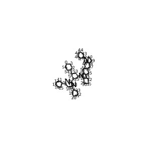 c1ccc(-c2cc(-c3nc(-c4ccccc4)cc(-c4ccccc4)n3)cc(-n3c4ccccc4c4cc5cc6ccn(-c7ccccc7)c6cc5cc43)c2)cc1